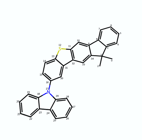 CC1(C)c2ccccc2-c2cc3sc4ccc(-n5c6ccccc6c6ccccc65)cc4c3cc21